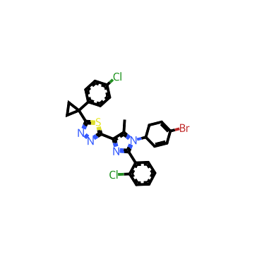 Cc1c(-c2nnc(C3(c4ccc(Cl)cc4)CC3)s2)nc(-c2ccccc2Cl)n1C1C=CC(Br)=CC1